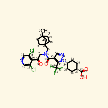 CC12CCC(CN(CC(=O)c3c(Cl)cncc3Cl)C(=O)c3cnn([C@H]4CC[C@H](C(=O)O)CC4)c3C(F)(F)F)(CC1)C2